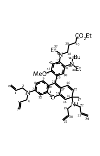 C=CCN(CC=C)c1ccc2c(c1)OC1=CC(C)(N(CC=C)CC=C)C=CC1=C2c1cc(N(CC)C(C)CC)c(N(CC)CCCC(=O)OCC)cc1OC